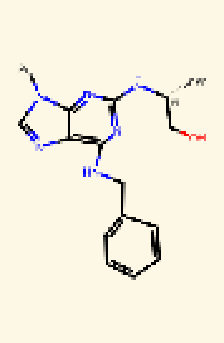 CCC[C@H](CO)Nc1nc(NCc2ccccc2)c2ncn(C(C)C)c2n1